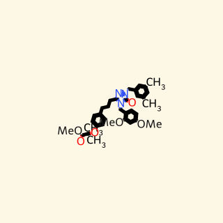 COC(=O)C(C)(C)Oc1ccc(CCCc2nn(Cc3cc(C)cc(C)c3)c(=O)n2Cc2ccc(OC)cc2OC)cc1